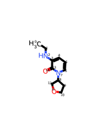 CCNc1cccn(C2CCOC2)c1=O